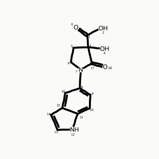 O=C(O)C1(O)CCN(c2ccc3[nH]ccc3c2)C1=O